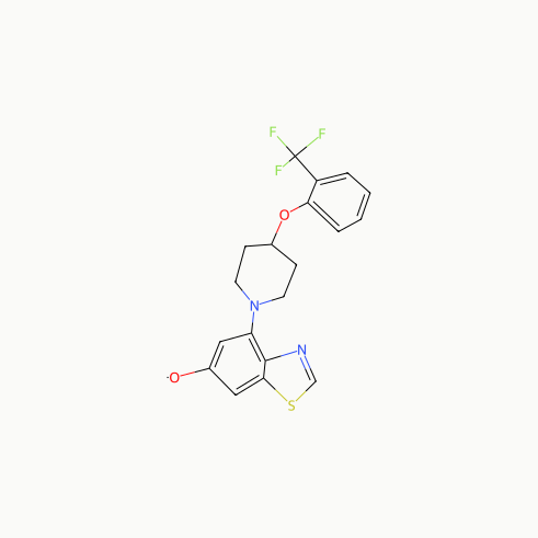 [O]c1cc(N2CCC(Oc3ccccc3C(F)(F)F)CC2)c2ncsc2c1